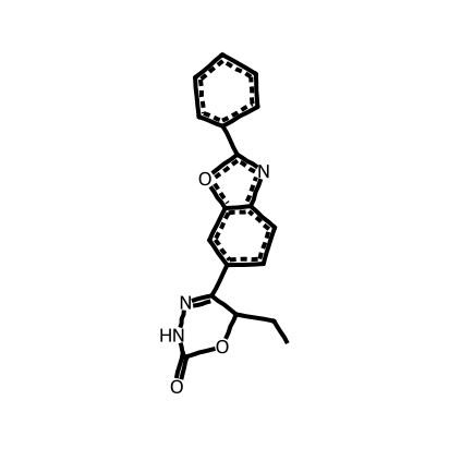 CCC1OC(=O)NN=C1c1ccc2nc(-c3ccccc3)oc2c1